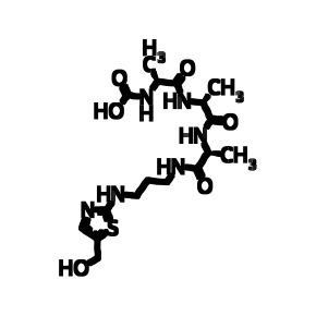 C[C@H](NC(=O)O)C(=O)N[C@@H](C)C(=O)N[C@@H](C)C(=O)NCCCNc1ncc(CO)s1